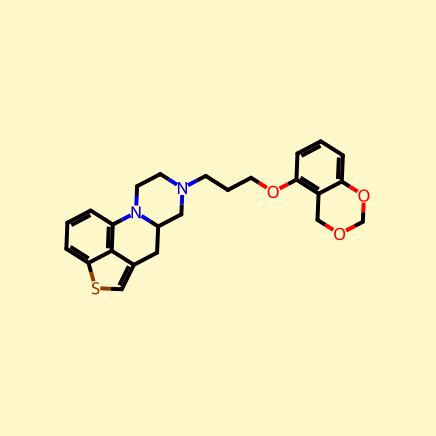 c1cc(OCCCN2CCN3c4cccc5scc(c45)CC3C2)c2c(c1)OCOC2